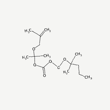 C=C(C)COC(C)(C)OC(=O)OOOC(C)(C)CCC